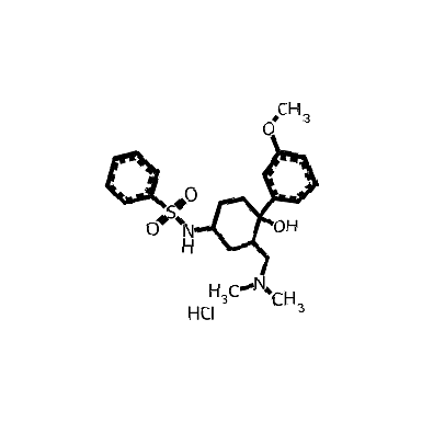 COc1cccc(C2(O)CCC(NS(=O)(=O)c3ccccc3)CC2CN(C)C)c1.Cl